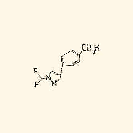 O=C(O)c1ccc(-c2cnn(C(F)F)c2)cc1